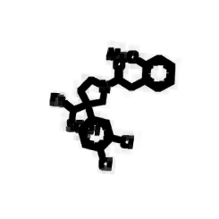 CCC(C1(c2ccc(Cl)c(Cl)c2)CCN(C(=O)Cc2ccccc2OC)C1)S(=O)(=O)O